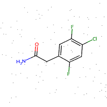 NC(=O)[CH]c1cc(F)c(Cl)cc1F